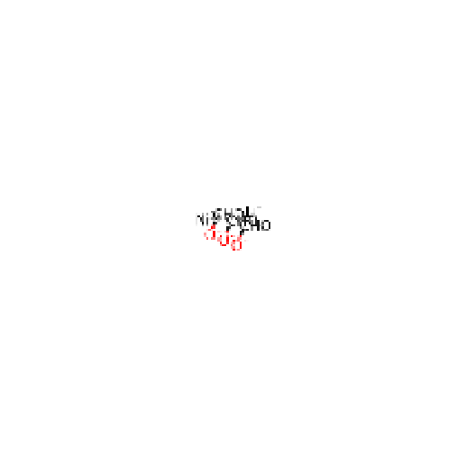 O=C[O-].O=C[O-].O=C[O-].[Li+].[Ni+2]